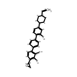 C=CC1CCC(c2ccc(-c3ccc(-c4ccc(C5CO5)c(F)c4F)cc3)c(F)c2)CC1